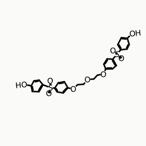 O=S(=O)(c1ccc(O)cc1)c1ccc(OCCOCCOc2ccc(S(=O)(=O)c3ccc(O)cc3)cc2)cc1